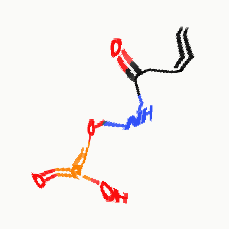 C=CC(=O)NO[PH](=O)O